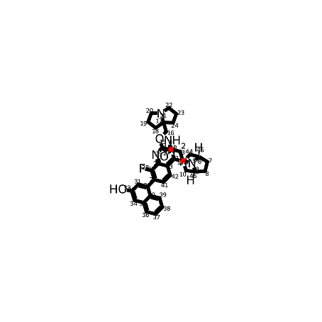 NC(=O)CCN1[C@@H]2CC[C@H]1CN(c1nc(OCC34CCCN3CCC4)nc3c(F)c(-c4cc(O)cc5ccccc45)ccc13)C2